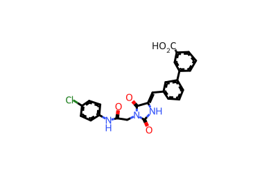 O=C(CN1C(=O)N/C(=C\c2cccc(-c3cccc(C(=O)O)c3)c2)C1=O)Nc1ccc(Cl)cc1